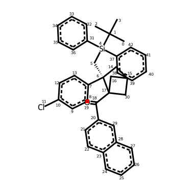 CC(C)(C)[Si](C[C@]1(c2ccc(Cl)cc2)CC2CC1(C(=O)c1ccc3ccccc3c1)C2)(c1ccccc1)c1ccccc1